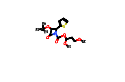 CCOCCC(OCC)OC(=O)N1C(=O)C(O[Si](CC)(CC)CC)C1c1cccs1